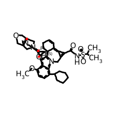 COc1ccc(C2CCCCC2)c2c1cc1n2CC2=C(C(=O)NS(=O)(=O)C(C)C)C2=C2C=CC[C@@H](C(=O)N3CC45COCC4(C3)CN(C3CC3)C5)[C@@H]21